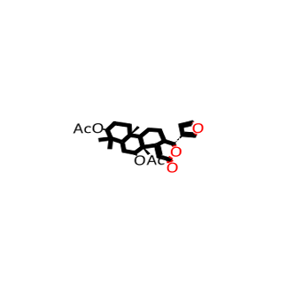 CC(=O)O[C@@H]1CC[C@@]2(C)C(C[C@@H](OC(C)=O)[C@@]3(C)C4=CC(=O)O[C@@H](c5ccoc5)C4CCC23)C1(C)C